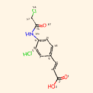 Cl.O=C(O)C=Cc1ccc(NC(=O)CCl)cc1